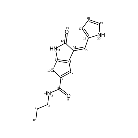 CCCNC(=O)c1cc2c(s1)NC(=O)/C2=C\c1ccc[nH]1